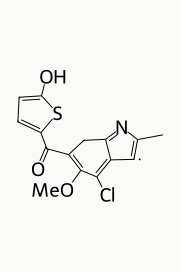 COC1=C(C(=O)c2ccc(O)s2)CC2=NC(C)=[C]C2=C1Cl